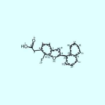 O=C(O)Cc1ccc2nc(-c3nccc4ccccc34)oc2c1F